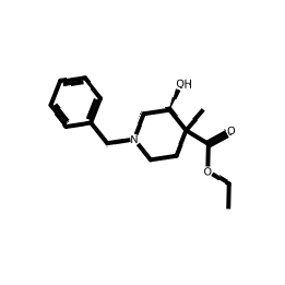 CCOC(=O)C1(C)CCN(Cc2ccccc2)C[C@H]1O